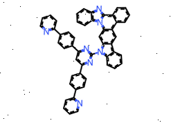 c1ccc(-c2ccc(-c3cc(-c4ccc(-c5ccccn5)cc4)nc(-n4c5ccccc5c5cc6c7ccccc7c7nc8ccccc8n7c6cc54)n3)cc2)nc1